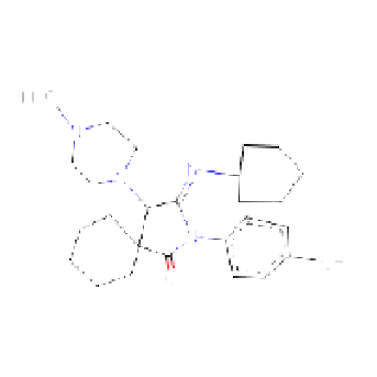 Cc1ccc(N2C(=O)C3(CCCCC3)C(N3CCN(C)CC3)C2=NC2CCCCC2)cc1